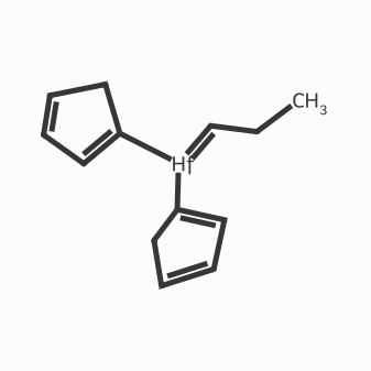 CC[CH]=[Hf]([C]1=CC=CC1)[C]1=CC=CC1